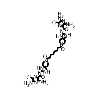 Nc1nc(N)c(C(=O)/N=C2\NCC3(CCN(C(=O)CCCCCCC(=O)N4CCC5(CC4)CN/C(=N\C(=O)c4nc(Cl)c(N)nc4N)N5)CC3)N2)nc1Cl